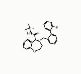 CC(C)(C)NC(=O)C1c2ccccc2OCCN1Cc1ccccc1-c1ccccc1F